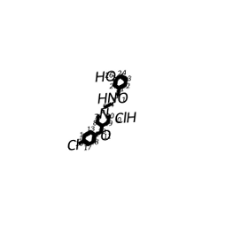 Cl.O=C(NCCN1CCC(C(=O)c2ccc(Cl)cc2)CC1)c1cccc(O)c1